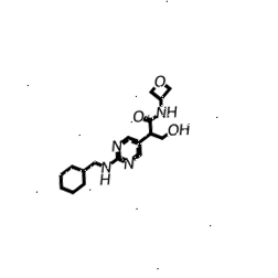 O=C(NC1COC1)C(CO)c1cnc(NCC2CCCCC2)nc1